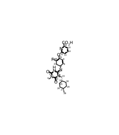 Cn1c(=O)[nH]/c(=N\C2C=CC(Oc3cccc(C(=O)O)n3)=C(F)C2)n(C[C@H]2CC[C@H](C)CC2)c1=O